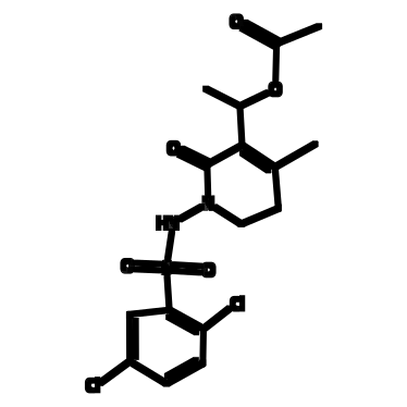 CC(=O)OC(C)C1=C(C)CCN(NS(=O)(=O)c2cc(Cl)ccc2Cl)C1=O